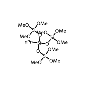 [CH2]CC[Si](O[Si](OC)(OC)OC)(O[Si](OC)(OC)OC)O[Si](OC)(OC)OC